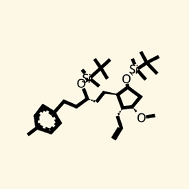 C=CC[C@H]1[C@@H](OC)CC(O[Si](C)(C)C(C)(C)C)[C@@H]1CC[C@H](CCc1ccc(C)cc1)O[Si](C)(C)C(C)(C)C